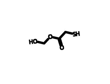 O=C(CS)OCO